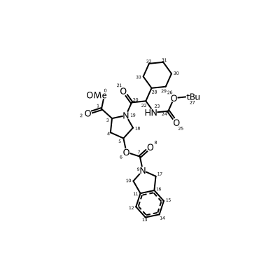 COC(=O)C1CC(OC(=O)N2Cc3ccccc3C2)CN1C(=O)C(NC(=O)OC(C)(C)C)C1CCCCC1